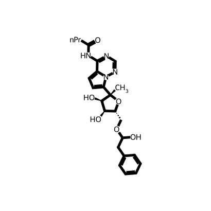 CCCC(=O)Nc1ncnn2c([C@]3(C)O[C@H](COC(O)Cc4ccccc4)[C@@H](O)[C@H]3O)ccc12